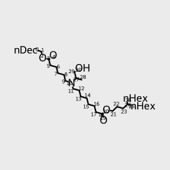 CCCCCCCCCCCOC(=O)CCCCCN(CCCCCCCC(=O)OCCCC(CCCCCC)CCCCCC)C(C)CO